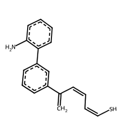 C=C(/C=C\C=C/S)c1cccc(-c2ccccc2N)c1